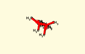 CCCCCCCCCCCC(=O)OC(COc1ccc(C(C)(C)c2ccc(OCC(CN3C(C)(C)CC(OC(=O)CCCCCCCCCCC)CC3(C)C)OC(=O)CCCCCCCCCCC)cc2)cc1)CN1C(C)(C)CC(OC(=O)CCCCCCCCCCC)CC1(C)C